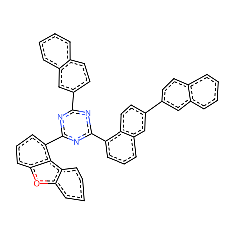 c1ccc2cc(-c3ccc4c(-c5nc(-c6ccc7ccccc7c6)nc(-c6cccc7oc8ccccc8c67)n5)cccc4c3)ccc2c1